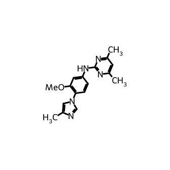 COc1cc(Nc2nc(C)cc(C)n2)ccc1-n1cnc(C)c1